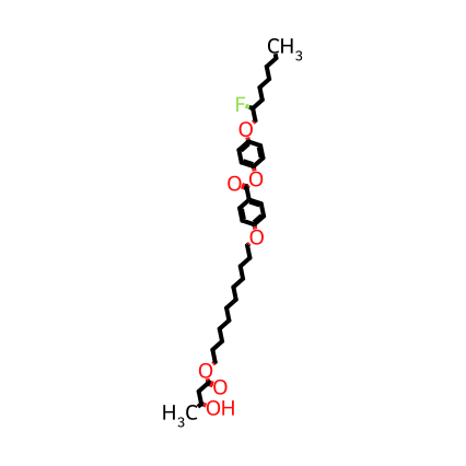 CCCCCCC(F)COc1ccc(OC(=O)c2ccc(OCCCCCCCCCCCCOC(=O)CC(C)O)cc2)cc1